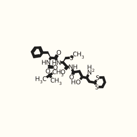 CSC[C@H](NC(=O)[C@H](Cc1ccccc1)NC(=O)OC(C)(C)C)C(=O)NC(=O)CC(O)C(N)CC1SCCCS1